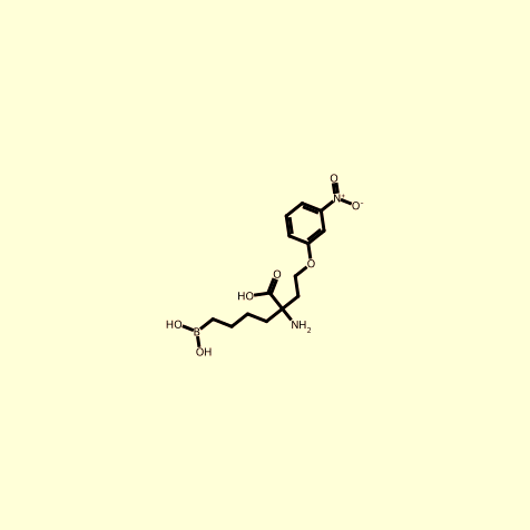 NC(CCCCB(O)O)(CCOc1cccc([N+](=O)[O-])c1)C(=O)O